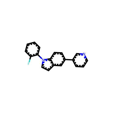 Fc1ccccc1-n1ccc2cc(-c3cccnc3)ccc21